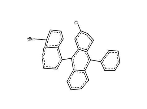 CC(C)(C)c1cccc2c(-c3c4ccccc4c(-c4ccccc4)c4ccc(Cl)cc34)cccc12